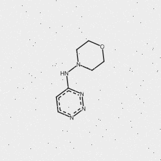 c1cc(NN2CCOCC2)nnn1